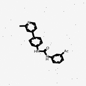 CC(=O)c1cccc(NC(=O)Nc2ccc(-c3ccnc(C)c3)cc2)c1